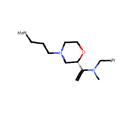 C=C([C@@H]1CN(CCCNC)CCO1)N(C)CC(C)C